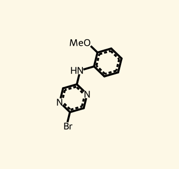 COc1ccccc1Nc1cnc(Br)cn1